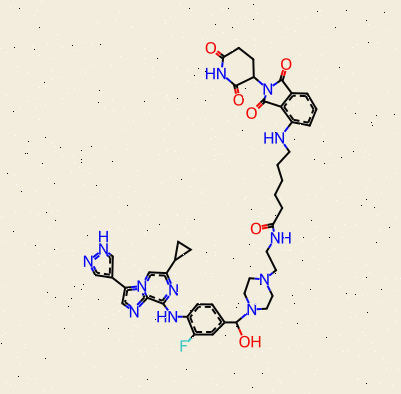 O=C(CCCCCNc1cccc2c1C(=O)N(C1CCC(=O)NC1=O)C2=O)NCCN1CCN(C(O)c2ccc(Nc3nc(C4CC4)cn4c(-c5cn[nH]c5)cnc34)c(F)c2)CC1